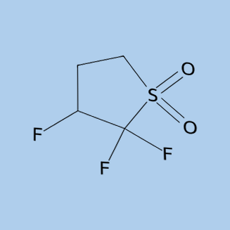 O=S1(=O)CCC(F)C1(F)F